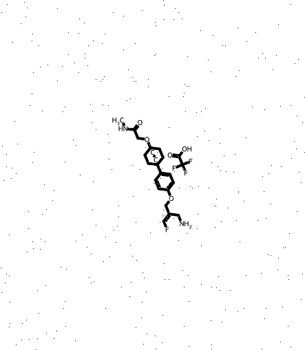 CNC(=O)COC12CCC(c3ccc(OC/C(=C/F)CN)cc3)(CC1)CC2.O=C(O)C(F)(F)F